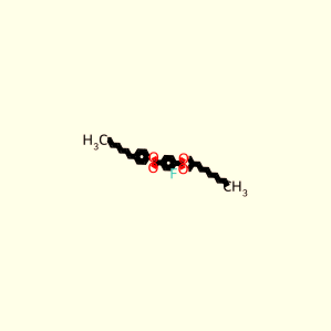 CCCCCCCCC1COC(c2ccc(C(=O)Oc3ccc(CCCCCCC)cc3)cc2F)OC1